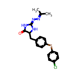 CC(C)=NN=C1NC(=O)C(Cc2ccc(Sc3ccc(Cl)cc3)cc2)N1